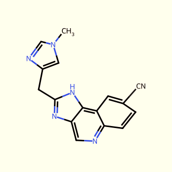 Cn1cnc(Cc2nc3cnc4ccc(C#N)cc4c3[nH]2)c1